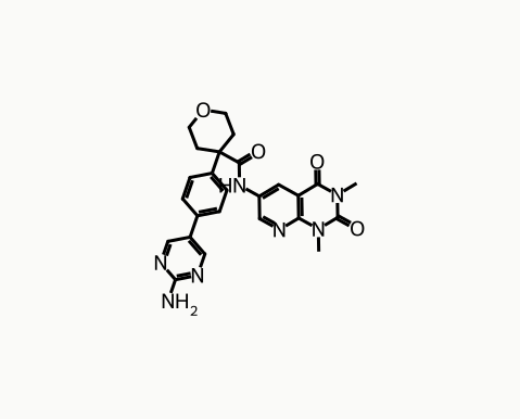 Cn1c(=O)c2cc(NC(=O)C3(c4ccc(-c5cnc(N)nc5)cc4)CCOCC3)cnc2n(C)c1=O